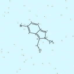 Cn1nc2ccc(Br)cc2c1CCl